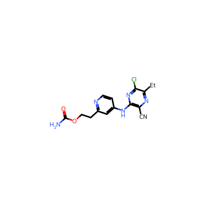 CCc1nc(C#N)c(Nc2ccnc(CCOC(N)=O)c2)nc1Cl